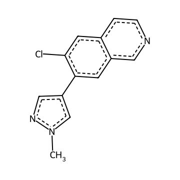 Cn1cc(-c2cc3cnccc3cc2Cl)cn1